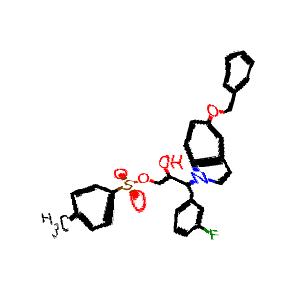 Cc1ccc(S(=O)(=O)OCC(O)C(c2cccc(F)c2)n2ccc3cc(OCc4ccccc4)ccc32)cc1